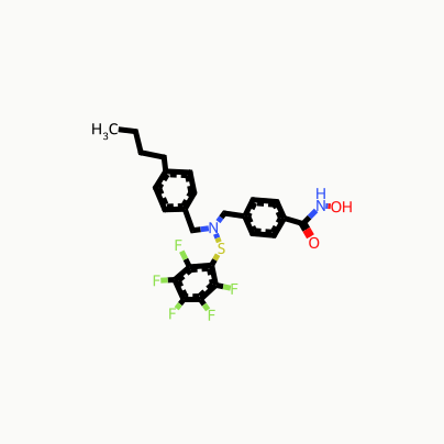 CCCCc1ccc(CN(Cc2ccc(C(=O)NO)cc2)Sc2c(F)c(F)c(F)c(F)c2F)cc1